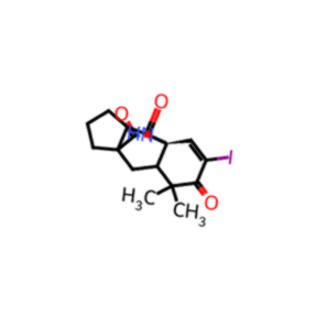 CC1(C)C(=O)C(I)=C[C@@]23NC(=O)C4(CCCC4C2=O)CC13